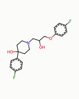 OC(COc1ccc(F)cc1)CN1CCC(O)(c2ccc(F)cc2)CC1